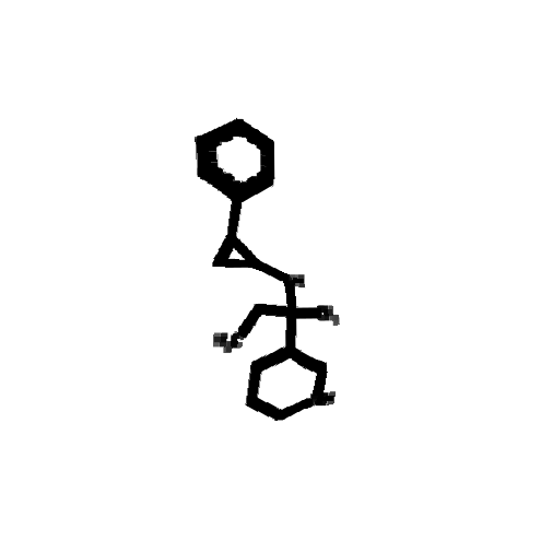 CCC(C)(NC1CC1c1ccccc1)C1CCCNC1